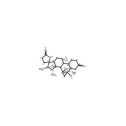 CC1[C@@H](C)C2C3C(CC[C@]2(C)[C@]12CCC(=O)O2)[C@@]1(C)CCC(=O)C[C@@]1(O)[C@@H]1C[C@H]31